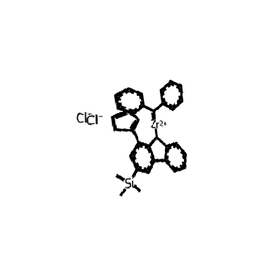 C[Si](C)(C)c1cc(C2=CC=CC2)c2c(c1)-c1ccccc1[CH]2[Zr+2]=[C](c1ccccc1)c1ccccc1.[Cl-].[Cl-]